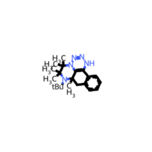 CC(C)(C)N1C2(C)Cc3ccccc3C3=C2N(N=NN3)C(C)(C)C1(C)C